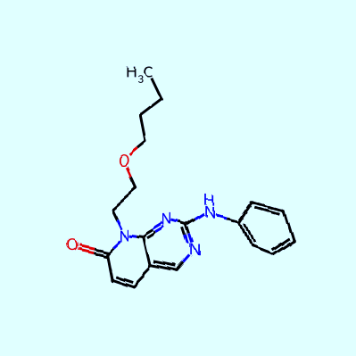 CCCCOCCn1c(=O)ccc2cnc(Nc3ccccc3)nc21